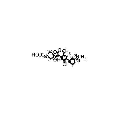 Cc1cc(-c2cccc(S(C)(=O)=O)c2)c(Cl)cc1C1=C(O)C2(CCN(CC(=O)O)CC2)OC1=O